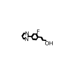 OCC=Cc1ccc(-c2ncccn2)cc1F